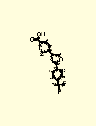 O=C(O)c1ccc(-c2coc(-c3ccc(C(F)(F)F)cc3)n2)cc1